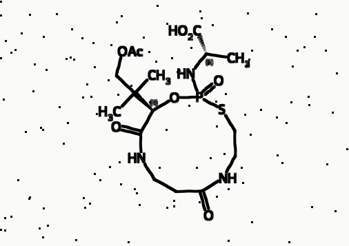 CC(=O)OCC(C)(C)[C@H]1OP(=O)(N[C@@H](C)C(=O)O)SCCNC(=O)CCNC1=O